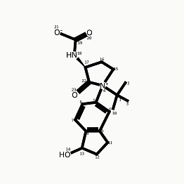 CC(C)(C)[N+]1(c2ccc3c(c2)CCC3O)CC[C@H](NC(=O)[O-])C1=O